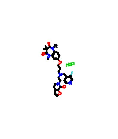 CCN1C(=O)C(C)(C)C(=O)N(C)c2cc(OCCCN(CCn3ccc4ccoc4c3=O)Cc3ccncc3F)ccc21.Cl.Cl